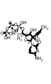 CC#CC1(N)C(O)[C@@H]([C@H](C)OP(=O)(O)OP(=O)(O)OP(=O)(O)O)O[C@H]1n1ccc(N)nc1=O